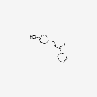 O=C(C=Cc1ccc(O)cc1)C1C=CC=CC1